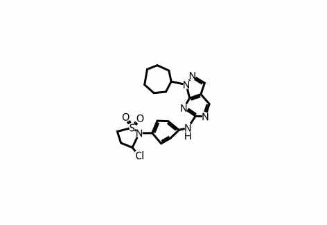 O=S1(=O)CCC(Cl)N1c1ccc(Nc2ncc3cnn(C4CCCCCC4)c3n2)cc1